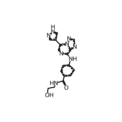 O=C(NCCO)c1ccc(Nc2ncc(-c3cn[nH]c3)n3ncnc23)cc1